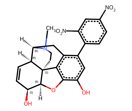 CN1CC[C@]23c4c5c(-c6ccc([N+](=O)[O-])cc6[N+](=O)[O-])cc(O)c4O[C@H]2[C@@H](O)C=C[C@H]3[C@H]1C5